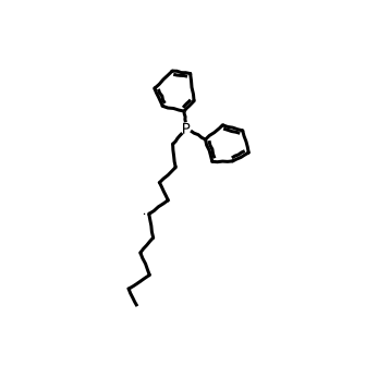 CCCCC[CH]CCCCP(c1ccccc1)c1ccccc1